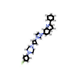 Fc1ccc(N2CCN(C3CC(N4C=CN(c5ccc6ccc(-c7ccccc7)nc6c5)C4)C3)CC2)cc1